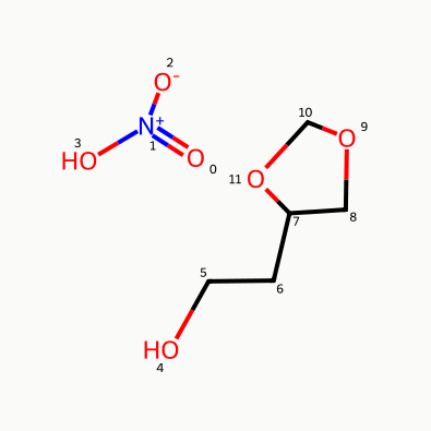 O=[N+]([O-])O.OCCC1COCO1